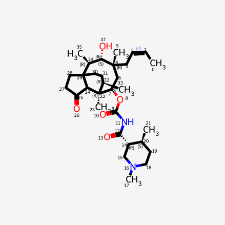 C/C=C\C[C@]1(C)C[C@@H](OC(=O)NC(=O)[C@H]2CN(C)CC[C@@H]2C)[C@@]2(C)C3C(=O)CCC3(CC[C@H]2C)[C@@H](C)[C@@H]1O